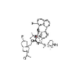 CC(=O)N1CC2CC(F)CC2(COc2nc(N(C)[C@@H]3CCN[C@@H]3C)c3cnc(-c4cccc5ccc(F)c(C#C[Si](C(C)C)(C(C)C)C(C)C)c45)c(F)c3n2)C1